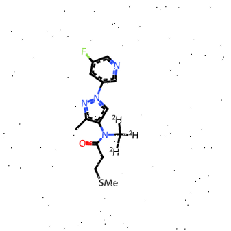 [2H]C([2H])([2H])N(C(=O)CCSC)c1cn(-c2cncc(F)c2)nc1C